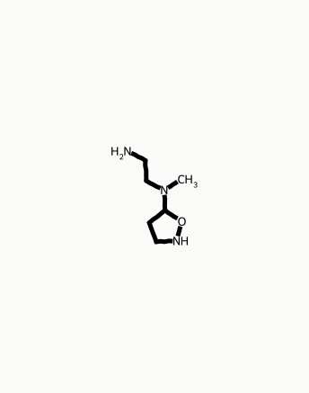 CN(CCN)C1CCNO1